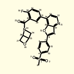 CS(=O)(=O)c1ccc(-c2cc3nccc(-c4ccc(F)c(C(=O)N5CC6OCC65)c4)c3o2)cc1